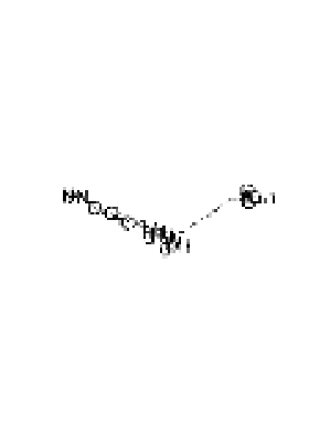 [N-]=[N+]=NCCOCCOCCOCCNC(=O)CC[C@H](NC(=O)CCCCCCCCCCCCCCCS(=O)(=O)O)C(=O)O